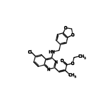 CCOC(=O)/C(C)=C\c1nc(NCc2ccc3c(c2)OCO3)c2cc(Cl)ccc2n1